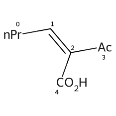 CCCC=C(C(C)=O)C(=O)O